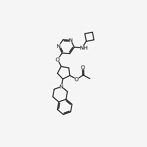 CC(=O)OC1CC(Oc2cc(NC3CCC3)ncn2)CC1N1CCc2ccccc2C1